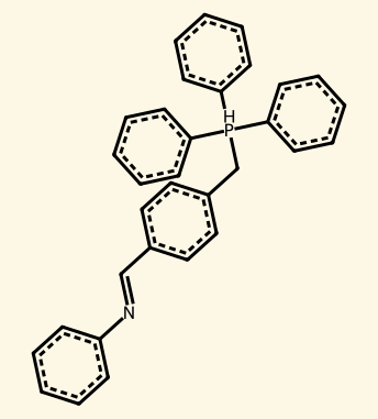 C(=N\c1ccccc1)/c1ccc(C[PH](c2ccccc2)(c2ccccc2)c2ccccc2)cc1